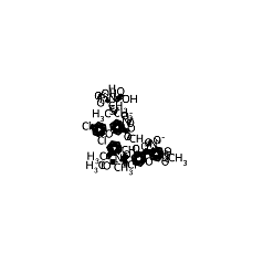 CCc1cccc(C)c1N(C(=O)CCl)C(C)COC.COC(=O)c1cc(Oc2ccc(Cl)cc2Cl)ccc1[N+](=O)[O-].CS(=O)(=O)c1ccc(C(=O)C2C(=O)CCCC2=O)c([N+](=O)[O-])c1.C[S+](C)C.O=C(O)CNCP(=O)([O-])O